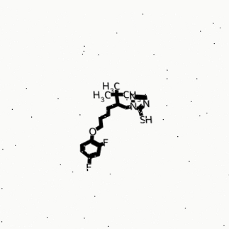 CC(C)(C)C(CCCCOc1ccc(F)cc1F)Cn1ncnc1S